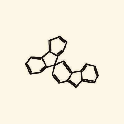 C1=CC2(C=C3C1=Cc1ccccc13)c1ccccc1-c1ccccc12